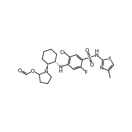 Cc1csc(NS(=O)(=O)c2cc(Cl)c(N[C@H]3CCCC[C@@H]3N3CCCC3OC=O)cc2F)n1